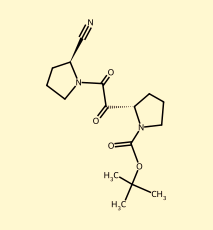 CC(C)(C)OC(=O)N1CCC[C@H]1C(=O)C(=O)N1CCC[C@H]1C#N